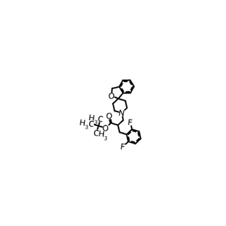 CC(C)(C)OC(=O)C(Cc1c(F)cccc1F)CN1CCC2(CC1)OCc1ccccc12